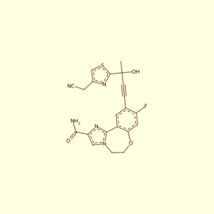 CC(O)(C#Cc1cc2c(cc1F)OCCn1cc(C(N)=O)nc1-2)c1nc(CC#N)cs1